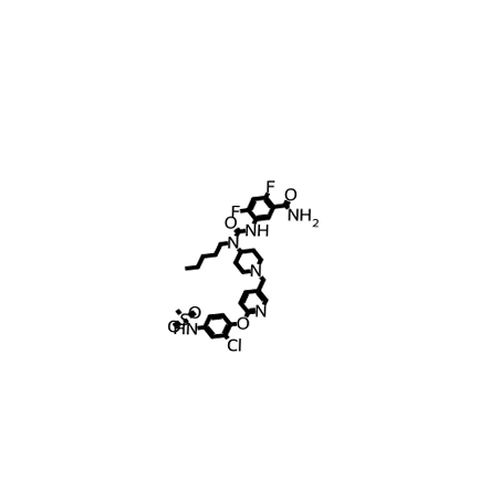 CCCCCN(C(=O)Nc1cc(C(N)=O)c(F)cc1F)C1CCN(Cc2ccc(Oc3ccc(NS(C)(=O)=O)cc3Cl)nc2)CC1